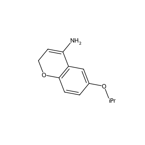 CC(C)Oc1ccc2c(c1)C(N)=CCO2